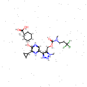 CN(CCC(F)(F)F)C(=O)OCc1c(-c2cnc(O[C@H]3CCC[C@](C)(C(=O)O)C3)c(C3CC3)n2)nnn1C